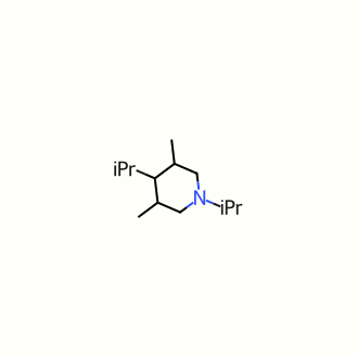 CC(C)C1C(C)CN(C(C)C)CC1C